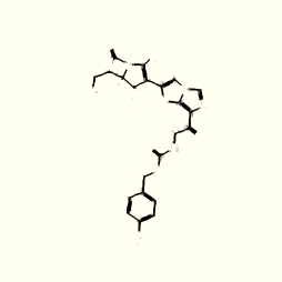 C[C@@H](O)[C@H]1C(=O)N2C(C(=O)O)=C(c3cn4cnc(C(=O)CNC(=O)OCc5ccc([N+](=O)[O-])cc5)c4s3)[C@H](C)[C@H]12